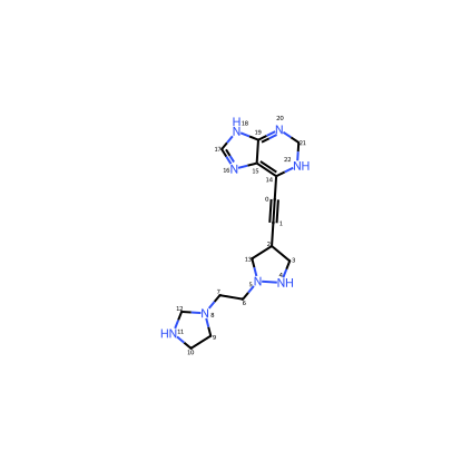 C(#CC1CNN(CCN2CCNC2)C1)C1=c2nc[nH]c2=NCN1